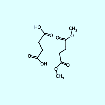 COC(=O)CCC(=O)OC.O=C(O)CCC(=O)O